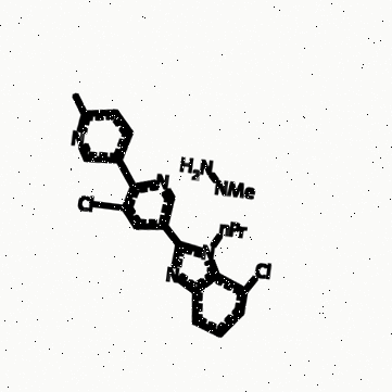 CCCn1c(-c2cnc(-c3ccc(C)nc3)c(Cl)c2)nc2cccc(Cl)c21.CNN